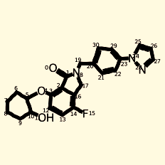 O=C1c2c(OC3CCCCC3O)ccc(F)c2CN1Cc1ccc(-n2cccn2)cc1